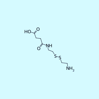 NCCSSCCNC(=O)CCC(=O)O